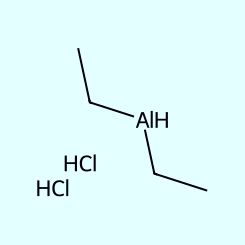 C[CH2][AlH][CH2]C.Cl.Cl